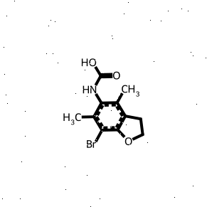 Cc1c(Br)c2c(c(C)c1NC(=O)O)CCO2